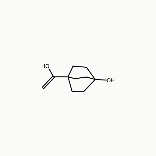 C=C(O)C12CCC(O)(CC1)CC2